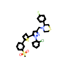 CS(=O)(=O)c1cccc(-c2ccc(-c3cc(CN4CCSCC4c4ccc(F)cc4)nn3-c3ccccc3Cl)s2)c1